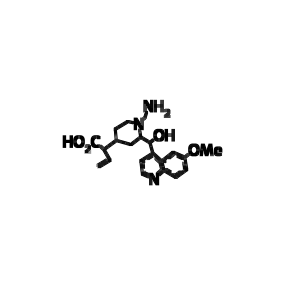 C=CC(C(=O)O)C1CCN(CN)C(C(O)c2ccnc3ccc(OC)cc23)C1